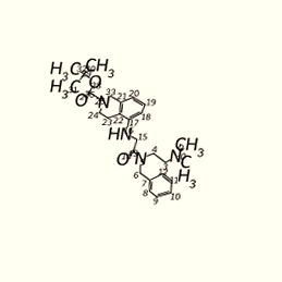 CN(C)CCN(Cc1ccccc1)C(=O)CNc1cccc2c1CCN(C(=O)OC(C)(C)C)C2